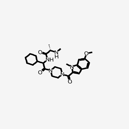 CN[C@@H](C)C(=O)NC(C(=O)N1CCN(C(=O)c2cc3ccc(OC)cc3n2C)CC1)C1CCCCC1